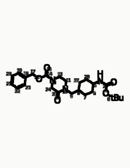 CC(C)(C)OC(=O)NC1CCC(CN2CCN(C(=O)OCc3ccccc3)CC2=O)CC1